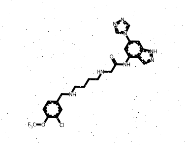 O=C(CNCCCCNCc1ccc(OC(F)(F)F)c(Cl)c1)Nc1cc(-n2cnnc2)cc2[nH]ncc12